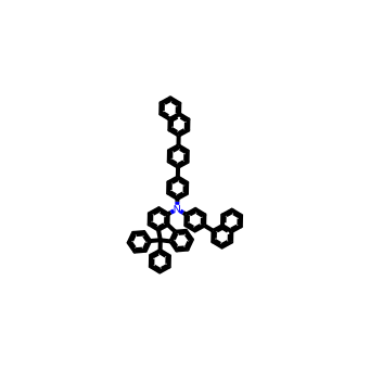 c1ccc(C2(c3ccccc3)c3ccccc3-c3c(N(c4ccc(-c5ccc(-c6ccc7ccccc7c6)cc5)cc4)c4ccc(-c5cccc6ccccc56)cc4)cccc32)cc1